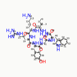 CC[C@H](C)[C@H](N)C(=O)N[C@@H](CCCCN)C(=O)N[C@@H](CCCNC(=N)N)C(=O)N[C@@H](Cc1ccc(O)cc1)C(=O)NCC(=O)N[C@@H](Cc1c[nH]c2ccccc12)C(N)=O